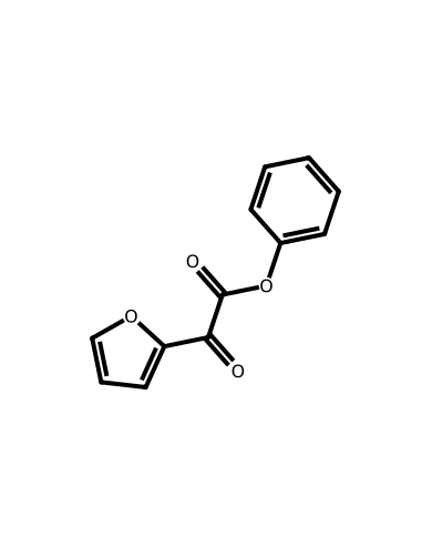 O=C(Oc1ccccc1)C(=O)c1ccco1